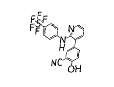 N#Cc1cc(-c2cccnc2Nc2ccc(S(F)(F)(F)(F)F)cc2)ccc1O